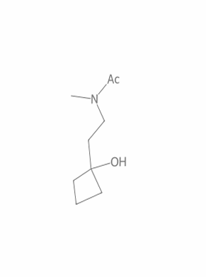 CC(=O)N(C)CCC1(O)CCC1